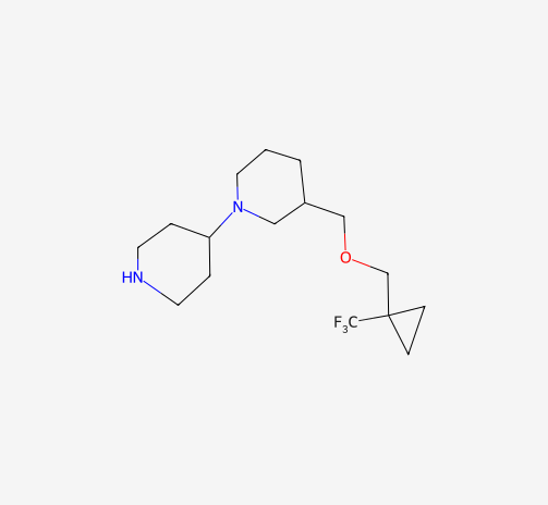 FC(F)(F)C1(COCC2CCCN(C3CCNCC3)C2)CC1